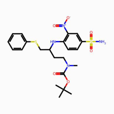 CN(CCC(CSc1ccccc1)Nc1ccc(S(N)(=O)=O)cc1[N+](=O)[O-])C(=O)OC(C)(C)C